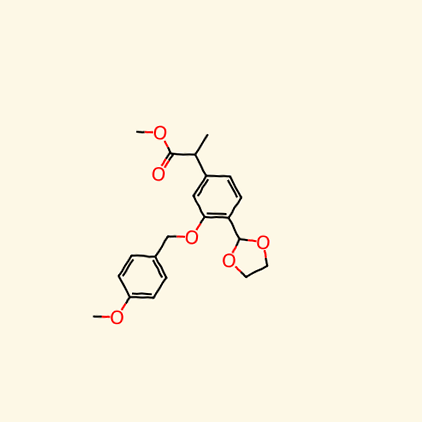 COC(=O)C(C)c1ccc(C2OCCO2)c(OCc2ccc(OC)cc2)c1